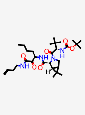 C=CCCNC(=O)C(=O)C(CCCC)NC(=O)[C@@H]1[C@@H]2C(CN1C(=O)[C@@H](NC(=O)OC(C)(C)C)C(C)(C)C)C2(C)C